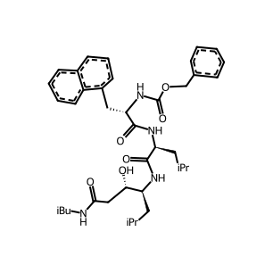 CCC(C)NC(=O)C[C@H](O)[C@H](CC(C)C)NC(=O)[C@H](CC(C)C)NC(=O)[C@H](Cc1cccc2ccccc12)NC(=O)OCc1ccccc1